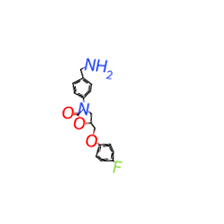 NCc1ccc(N2CC(COc3ccc(F)cc3)OC2=O)cc1